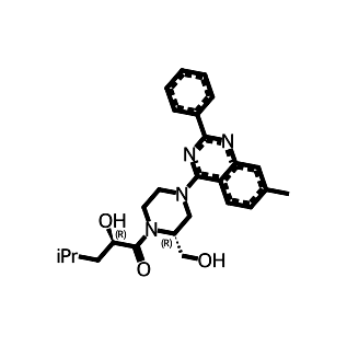 Cc1ccc2c(N3CCN(C(=O)[C@H](O)CC(C)C)[C@@H](CO)C3)nc(-c3ccccc3)nc2c1